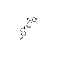 O=C(NC[C@@H](O)CN1CCc2cc(OI)ccc2C1)c1cc(I)ncn1